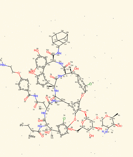 CCCNCCOc1ccc(C(=O)NC(=O)C[C@@H]2NC(=O)[C@H](NC(=O)[C@@H](CC(C)C)NC)[C@H](O)c3ccc(c(Cl)c3)Oc3cc4cc(c3O[C@@H]3O[C@H](CO)[C@@H](O)[C@H](O)[C@H]3O[C@H]3C[C@](C)(N)[C@H](O)[C@H](C)O3)Oc3ccc(cc3Cl)[C@@H](O)[C@@H]3NC(=O)[C@H](NC(=O)[C@@H]4NC2=O)c2ccc(O)c(c2)-c2c(O)cc(O)cc2[C@@H](C(=O)NC2C4CC5CC(C4)CC2C5)NC3=O)cc1